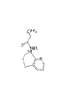 CCC(=O)N[C@@H]1CCCc2cccnc21